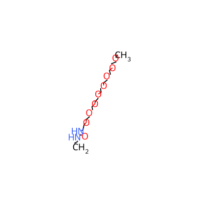 C=CCNC(=O)NCCOCCOCCOCCOCCOCCOCCOCCOC